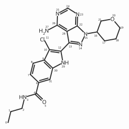 CCCNC(=O)c1ccc2c(Cl)c(-c3nn(C4CCCOC4)c4ncnc(N)c34)[nH]c2c1